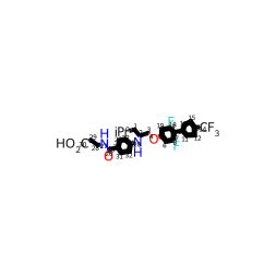 CC(C)CC(COc1cc(F)c(-c2ccc(C(F)(F)F)cc2)c(F)c1)Nc1ccc(C(=O)NCCC(=O)O)cc1